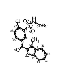 CCCCNS(=O)(=O)c1cc(C(=O)c2sc3ccccc3c2C)ccc1Cl